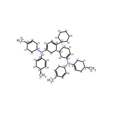 CC1=CC[C@@H](N(C2=CC[C@H](C)CC2)C2=CC[C@@H](C3(C4=CC=C(N(C5=CC[C@H](C)C=C5)[C@@H]5CC=C(C)CC5)CC4)CCCCC3)CC2)C=C1